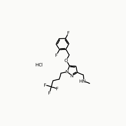 CNCc1cc(OCc2cc(F)ccc2F)n(CCCC(F)(F)F)n1.Cl